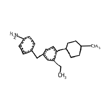 CCc1cc(Cc2ccc(N)cc2)ccc1C1CCC(C)CC1